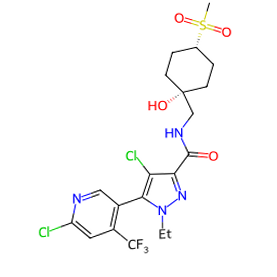 CCn1nc(C(=O)NC[C@]2(O)CC[C@@H](S(C)(=O)=O)CC2)c(Cl)c1-c1cnc(Cl)cc1C(F)(F)F